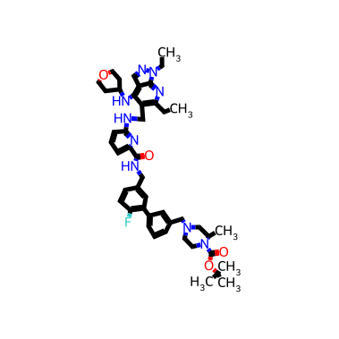 CCc1nc2c(cnn2CC)c(NC2CCOCC2)c1CNc1cccc(C(=O)NCc2ccc(F)c(-c3cccc(CN4CCN(C(=O)OC(C)(C)C)C(C)C4)c3)c2)n1